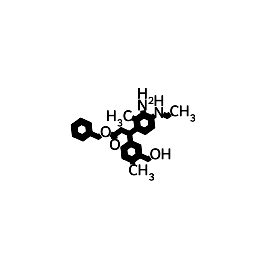 CCNc1ccc(C(CC(=O)OCc2ccccc2)c2ccc(C)c(CO)c2)c(C)c1N